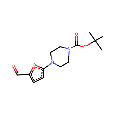 CC(C)(C)OC(=O)N1CCN(c2ccc(C=O)o2)CC1